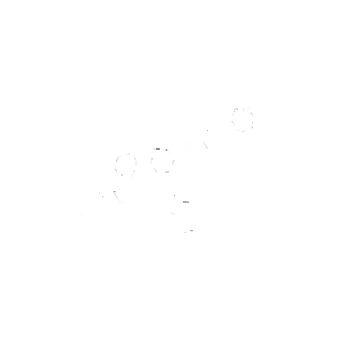 CC(C)(C)NC(=O)N1CCc2c(-c3cccc(C(=O)NC4CC4)c3)ccc(CNC(=O)[C@H]3C[C@@H]3c3ccccc3)c2C1